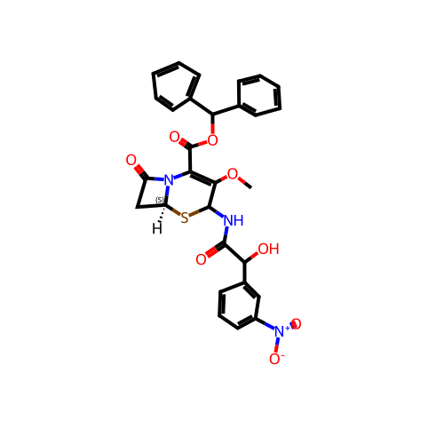 COC1=C(C(=O)OC(c2ccccc2)c2ccccc2)N2C(=O)C[C@@H]2SC1NC(=O)C(O)c1cccc([N+](=O)[O-])c1